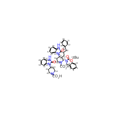 CC(C)(C)OC(=O)N(Cc1ccccc1)[C@H]1C(CCCc2ccccc2)C(n2c(=O)[nH]c3ccccc32)CCN1C(=O)O.O=C(O)N1CCC(n2c(=O)[nH]c3ccccc32)CC1